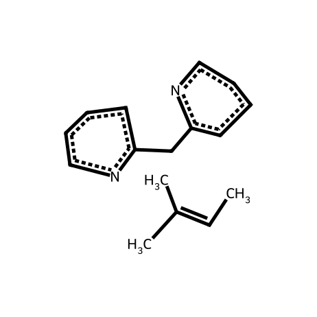 CC=C(C)C.c1ccc(Cc2ccccn2)nc1